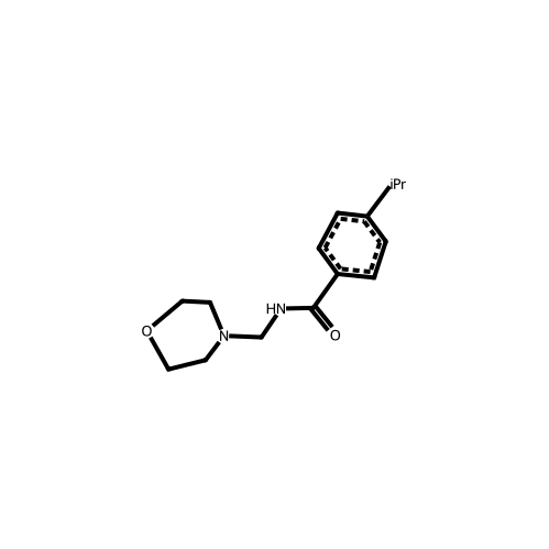 CC(C)c1ccc(C(=O)NCN2CCOCC2)cc1